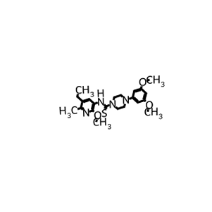 CCc1cc(NC(=S)N2CCN(c3cc(OC)cc(OC)c3)CC2)c(OC)nc1C